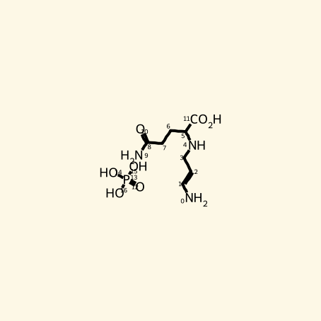 NC=CCNC(CCC(N)=O)C(=O)O.O=P(O)(O)O